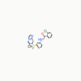 Cc1cn2ccnc2cc1Sc1cccc(NCC(=O)c2ccccc2Cl)c1